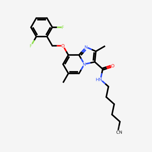 Cc1cc(OCc2c(F)cccc2F)c2nc(C)c(C(=O)NCCCCCC#N)n2c1